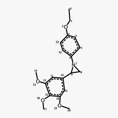 CCOc1ccc(N2CC2c2cc(OC)c(OC)c(OC)c2)cc1